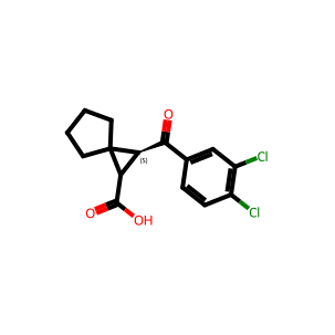 O=C(O)C1[C@H](C(=O)c2ccc(Cl)c(Cl)c2)C12CCCC2